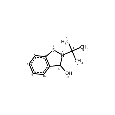 CC(C)(C)N1Sc2ccccc2C1O